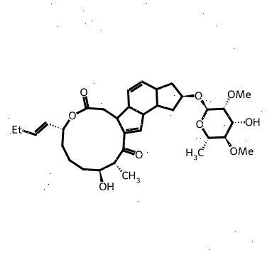 CC/C=C/[C@H]1CCC[C@H](O)[C@@H](C)C(=O)C2=CC3C(C=CC4C[C@@H](O[C@@H]5O[C@@H](C)[C@H](OC)[C@@H](O)[C@H]5OC)CC43)C2CC(=O)O1